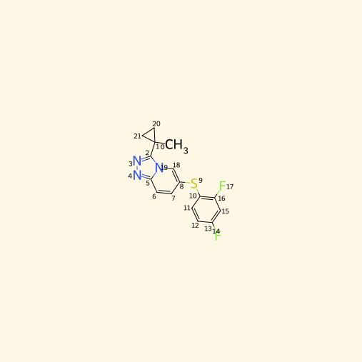 CC1(c2nnc3ccc(Sc4ccc(F)cc4F)cn23)CC1